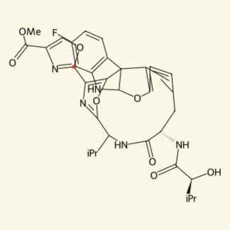 COC(=O)c1coc(-c2nc3oc2C24c5ccc(F)cc5NC2Oc2ccc(cc24)C[C@H](NC(=O)[C@@H](O)C(C)C)C(=O)NC3C(C)C)n1